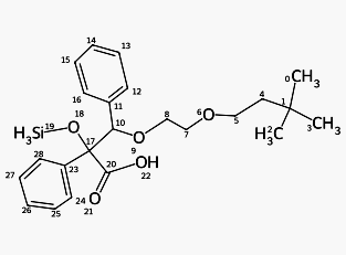 CC(C)(C)CCOCCOC(c1ccccc1)C(O[SiH3])(C(=O)O)c1ccccc1